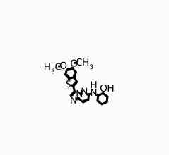 COc1cc2cc(-c3cnc4ccc(NC5CCCCC5O)nn34)sc2cc1OC